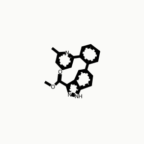 COC(=O)c1n[nH]c2ccc(-c3ccccc3-c3cccc(C)n3)cc12